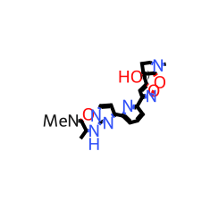 CNC(=O)C(C)Nc1nccc(-c2cccc(-c3cc([C@]4(O)CCN(C)C4=O)on3)n2)n1